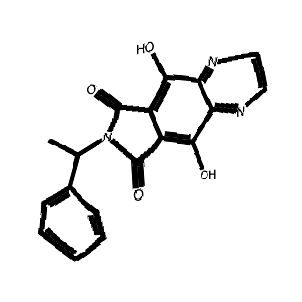 CC(c1ccccc1)N1C(=O)c2c(c(O)c3nccnc3c2O)C1=O